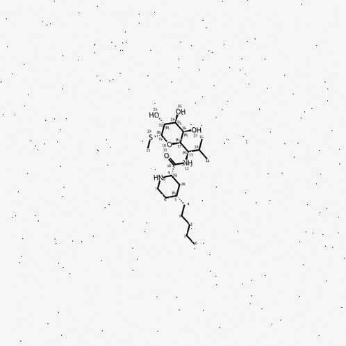 CCCCC[C@@H]1CCN[C@H](C(=O)N[C@H](C(C)C)[C@H]2O[C@H](SC)[C@H](O)[C@@H](O)[C@H]2O)C1